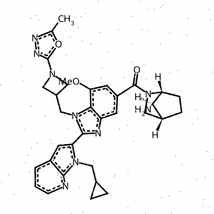 COc1cc(C(=O)N2C[C@H]3CC[C@@H]2[C@@H]3N)cc2nc(-c3cc4cccnc4n3CC3CC3)n(CC3CN(c4nnc(C)o4)C3)c12